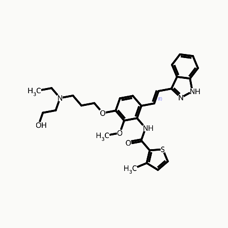 CCN(CCO)CCCOc1ccc(/C=C/c2n[nH]c3ccccc23)c(NC(=O)c2sccc2C)c1OC